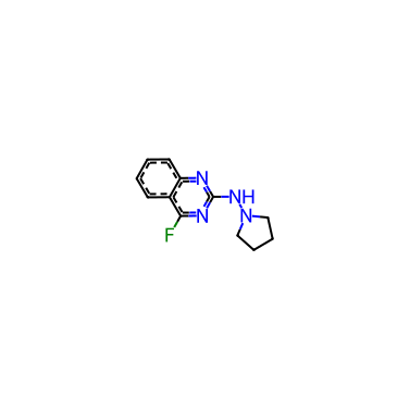 Fc1nc(NN2CCCC2)nc2ccccc12